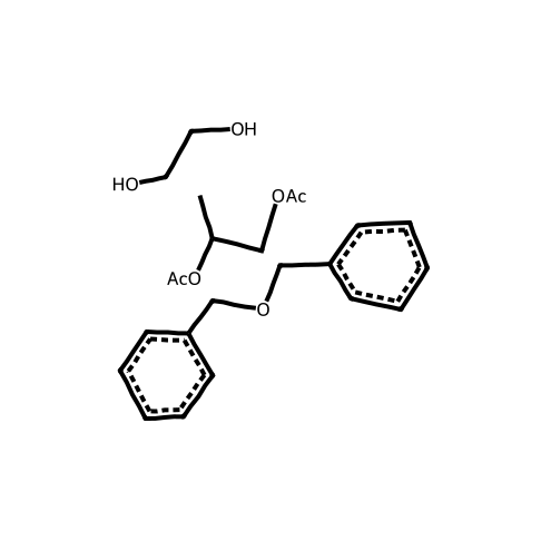 CC(=O)OCC(C)OC(C)=O.OCCO.c1ccc(COCc2ccccc2)cc1